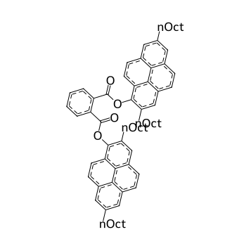 CCCCCCCCc1cc2ccc3cc(CCCCCCCC)c(OC(=O)c4ccccc4C(=O)Oc4c(CCCCCCCC)cc5ccc6cc(CCCCCCCC)cc7ccc4c5c67)c4ccc(c1)c2c34